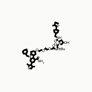 CC1=C(c2cc(C(N)=O)c3c4cc(OCCOCCOCC(=O)N[C@H](C(=O)N5C[C@H](O)C[C@H]5C(=O)NCc5ccc(-c6sccc6C)cc5)C(C)(C)C)ccc4n(Cc4ccccc4)c3c2)C(C)N=C1